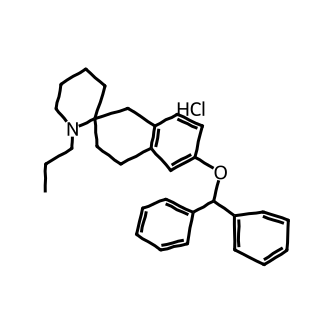 CCCN1CCCCC12CCc1cc(OC(c3ccccc3)c3ccccc3)ccc1C2.Cl